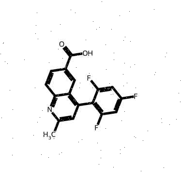 Cc1cc(-c2c(F)cc(F)cc2F)c2cc(C(=O)O)ccc2n1